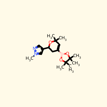 Cn1cc(C2CC(B3OC(C)(C)C(C)(C)O3)=CC(C)(C)O2)cn1